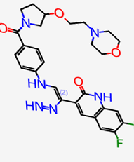 N=N/C(=C\Nc1ccc(C(=O)N2CCC(OCCN3CCOCC3)C2)cc1)c1cc2cc(F)c(F)cc2[nH]c1=O